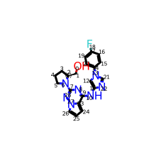 OC[C@@H]1CCCN1c1nc(Nc2cn(-c3ccc(F)cc3)cn2)c2cccn2n1